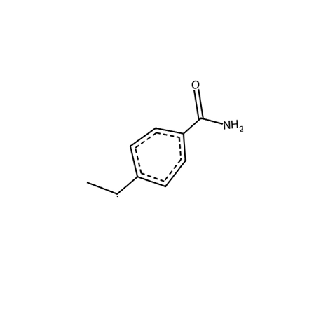 C[CH]c1ccc(C(N)=O)cc1